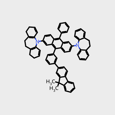 CC1(C)c2ccccc2-c2ccc(-c3cccc(-c4c5ccc(N6c7ccccc7CCc7ccccc76)cc5c(-c5ccccc5)c5ccc(N6C7=C(CCC=C7)CCC7=C6C=CCC7)cc45)c3)cc21